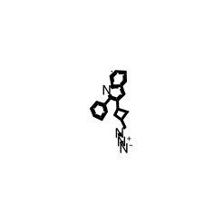 [N-]=[N+]=NCC1CC(c2cc3cc[c]cc3nc2-c2ccccc2)C1